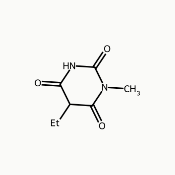 CCC1C(=O)NC(=O)N(C)C1=O